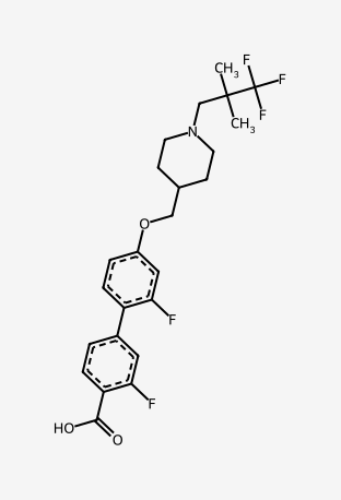 CC(C)(CN1CCC(COc2ccc(-c3ccc(C(=O)O)c(F)c3)c(F)c2)CC1)C(F)(F)F